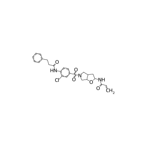 C=CC(=O)NC1CC2CN(S(=O)(=O)c3ccc(NC(=O)CCc4ccccc4)c(Cl)c3)CC2O1